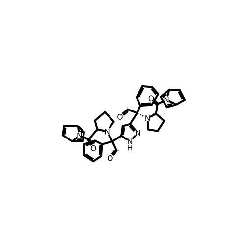 O=[C]C(c1ccccc1)(c1cc([C@@]([C]=O)(c2ccccc2)N2CCC[C]2C(=O)n2c3ccc2cc3)n[nH]1)N1CCC[C]1C(=O)n1c2ccc1cc2